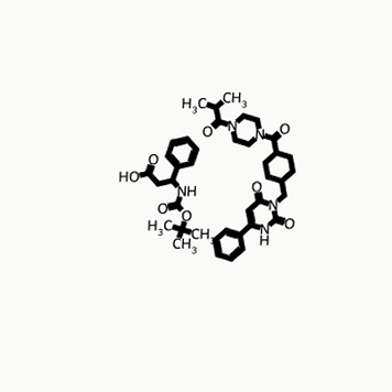 CC(C)(C)OC(=O)NC(CC(=O)O)c1ccccc1.CC(C)C(=O)N1CCN(C(=O)C2CCC(Cn3c(=O)cc(-c4ccccc4)[nH]c3=O)CC2)CC1